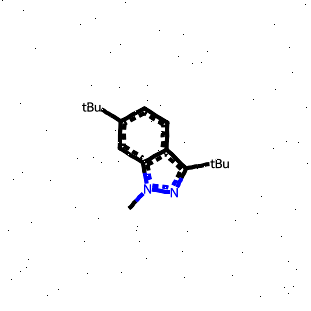 Cn1nc(C(C)(C)C)c2ccc(C(C)(C)C)cc21